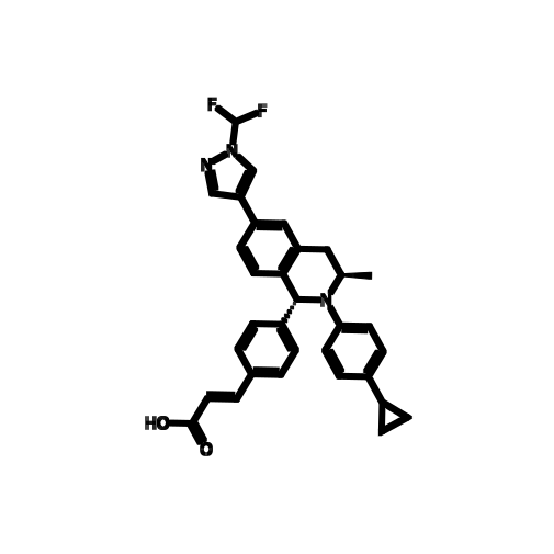 C[C@@H]1Cc2cc(-c3cnn(C(F)F)c3)ccc2[C@@H](c2ccc(/C=C/C(=O)O)cc2)N1c1ccc(C2CC2)cc1